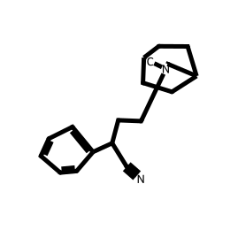 N#CC(CCN1CC2CCC(CC2)C1)c1ccccc1